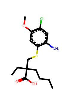 CCCCC(CC)(CSc1cc(OC)c(Cl)cc1N)C(=O)O